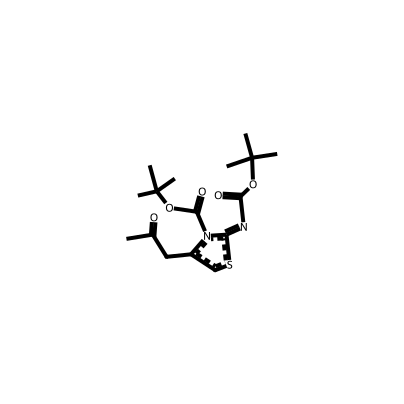 CC(=O)Cc1cs/c(=N/C(=O)OC(C)(C)C)n1C(=O)OC(C)(C)C